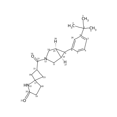 CC(C)(C)c1cccc(C2[C@H]3CN(C(=O)C4CC5(CCC(=O)N5)C4)C[C@@H]23)c1